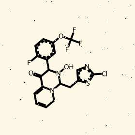 O=C1C2=CC=CCN2C(Cc2cnc(Cl)s2)N(O)C1c1cc(OC(F)(F)F)ccc1F